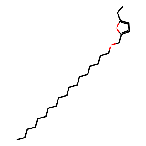 CCCCCCCCCCCCCCCCCCOCc1ccc(CC)o1